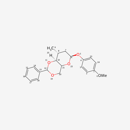 COc1ccc(O[C@@H]2C[C@@H](C)[C@@H]3OC(c4ccccc4)OCC3O2)cc1